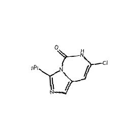 CCCc1ncc2cc(Cl)[nH]c(=O)n12